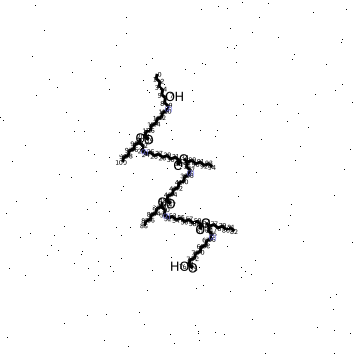 CCCCCCC(O)C/C=C\CCCCCCCC(=O)OC(C/C=C\CCCCCCCC(=O)OC(C/C=C\CCCCCCCC(=O)OC(C/C=C\CCCCCCCC(=O)OC(C/C=C\CCCCCCCC(=O)O)CCCCCC)CCCCCC)CCCCCC)CCCCCC